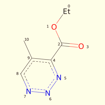 CCOC(=O)c1nnncc1C